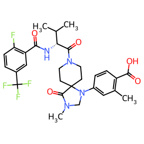 Cc1cc(N2CN(C)C(=O)C23CCN(C(=O)[C@H](NC(=O)c2cc(C(F)(F)F)ccc2F)C(C)C)CC3)ccc1C(=O)O